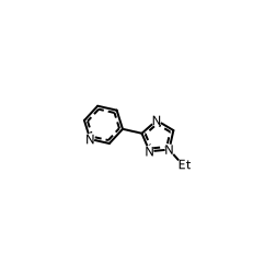 [CH2]Cn1cnc(-c2cccnc2)n1